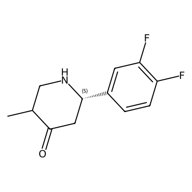 CC1CN[C@H](c2ccc(F)c(F)c2)CC1=O